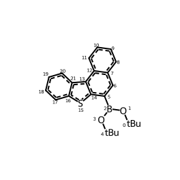 CC(C)(C)OB(OC(C)(C)C)c1cc2ccccc2c2c1sc1ccccc12